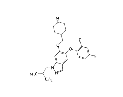 CC(C)Cn1ncc2cc(Oc3ccc(F)cc3F)c(OCC3CCNCC3)cc21